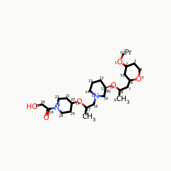 CC(C)OC1CCOC(CC(C)O[C@@H]2CCCN(CC(C)OC3CCN(C(=O)CO)CC3)C2)C1